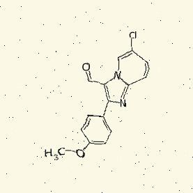 COc1ccc(-c2nc3ccc(Cl)cn3c2C=O)cc1